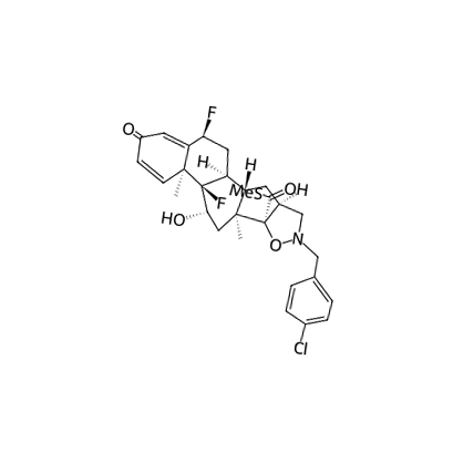 [CH2]SC(=O)[C@@]12ON(Cc3ccc(Cl)cc3)C[C@@H]1C[C@H]1[C@@H]3C[C@H](F)C4=CC(=O)C=C[C@]4(C)[C@@]3(F)[C@@H](O)C[C@@]12C